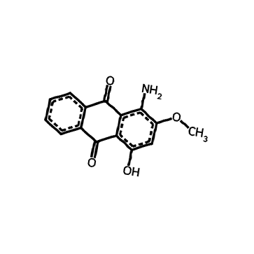 COc1cc(O)c2c(c1N)C(=O)c1ccccc1C2=O